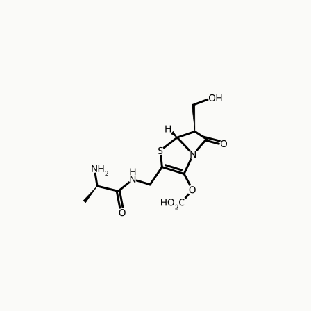 C[C@@H](N)C(=O)NCC1=C(OC(=O)O)N2C(=O)[C@H](CO)[C@H]2S1